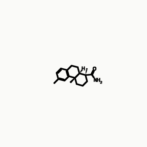 Cc1ccc2c(c1)[C@@]1(C)CCC[C@](C)(C(N)=O)[C@@H]1CC2